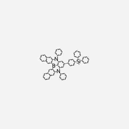 C[Si](c1ccccc1)(c1ccccc1)c1ccc(-c2cc3c4c(c2)N(c2ccccc2)c2cc5ccccc5cc2B4c2cc4ccccc4cc2N3c2ccccc2)cc1